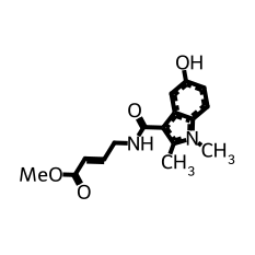 COC(=O)/C=C/CNC(=O)c1c(C)n(C)c2ccc(O)cc12